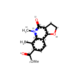 Bc1c(C(=O)OC)ccc2c3c(c(=O)n(C)c12)CCO3